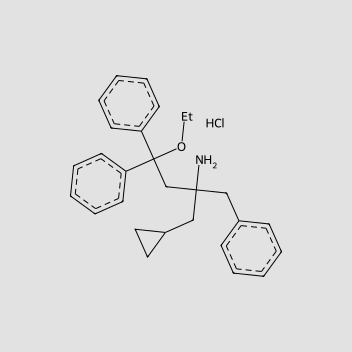 CCOC(CC(N)(Cc1ccccc1)CC1CC1)(c1ccccc1)c1ccccc1.Cl